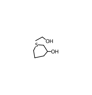 CCO.OC1CCCSC1